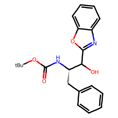 CC(C)(C)OC(=O)N[C@@H](Cc1ccccc1)C(O)c1nc2ccccc2o1